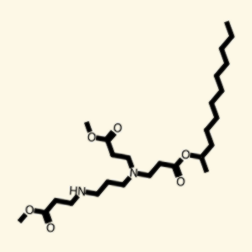 CCCCCCCCCCC(C)OC(=O)CCN(CCCNCCC(=O)OC)CCC(=O)OC